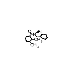 Cc1cccc(C(=O)N(Cc2ccccc2)C(C)C)c1C